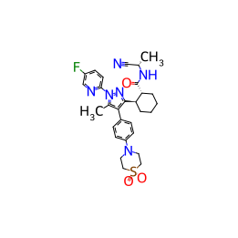 Cc1c(-c2ccc(N3CCS(=O)(=O)CC3)cc2)c([C@@H]2CCCC[C@H]2C(=O)N[C@@H](C)C#N)nn1-c1ccc(F)cn1